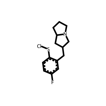 Fc1ccc(SCl)c(CC2CC3CCCN3C2)c1